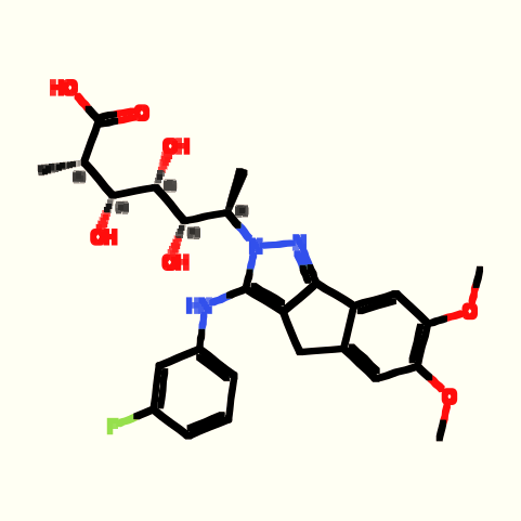 COc1cc2c(cc1OC)-c1nn([C@H](C)[C@H](O)[C@@H](O)[C@H](O)[C@H](C)C(=O)O)c(Nc3cccc(F)c3)c1C2